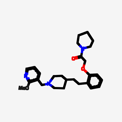 COc1ncccc1CN1CCC(CCc2ccccc2OCC(=O)N2CCCCC2)CC1